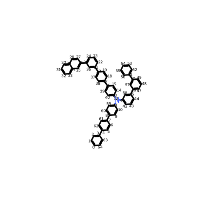 c1ccc(-c2ccc(-c3ccc(N(c4ccc(-c5ccc(-c6cccc(-c7ccc8ccccc8c7)c6)cc5)cc4)c4cccc(-c5cccc(-c6ccccc6)c5)c4)cc3)cc2)cc1